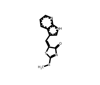 CSC1=NC(=O)C(=Cc2c[nH]c3ncccc23)S1